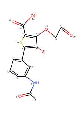 CC(=O)Nc1cccc(-c2sc(C(=O)O)c(OCC=O)c2Br)c1